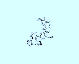 COc1cc(C(=O)N(C)c2ccccc2-c2ncco2)ccc1C(=O)Nc1cccc2[nH]c(C)nc12